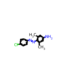 Cc1cc(N)cc(C)c1N=Nc1ccc(Cl)cc1